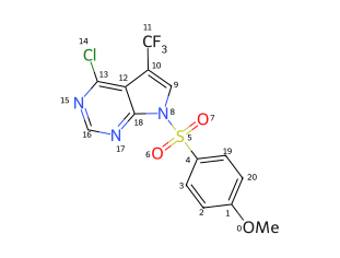 COc1ccc(S(=O)(=O)n2cc(C(F)(F)F)c3c(Cl)ncnc32)cc1